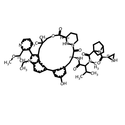 CCn1c(-c2cccnc2[C@H](C)OC)c2c3cc(ccc31)-c1cc(O)cc(c1)C[C@H](NC(=O)C(C(C)C)N(C)C(=O)C13CCC(CC1)N3C(=O)[C@H]1CN1)C(=O)N1CCC[C@H](N1)C(=O)OCC(C)(C)C2